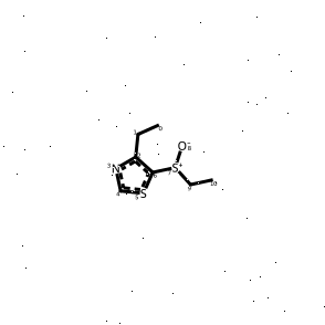 CCc1ncsc1[S+]([O-])CC